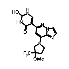 COC1(C(F)(F)F)CCN(c2cc(C3=CNC(O)NC3=O)nn3ccnc23)C1